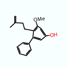 C=C(C)CCc1c(OC)cc(O)cc1-c1ccccc1